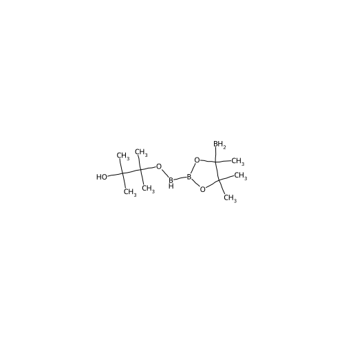 BC1(C)OB(BOC(C)(C)C(C)(C)O)OC1(C)C